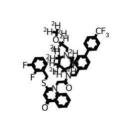 [2H]C([2H])([2H])OC([2H])([2H])CN1C([2H])([2H])C([2H])([2H])C([2H])(N(Cc2ccc(-c3ccc(C(F)(F)F)cc3)cc2)C(=O)Cn2c(SCc3cccc(F)c3F)cc(=O)c3ccccc32)C([2H])([2H])C1([2H])[2H]